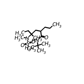 CCCC(CC(C)(CC)N(C)S(C)(=O)=O)C(=O)NC(C)(C)C